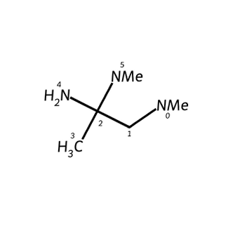 CNCC(C)(N)NC